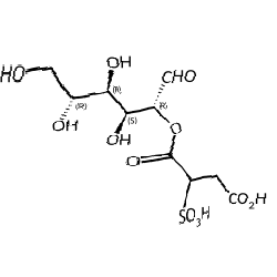 O=C[C@H](OC(=O)C(CC(=O)O)S(=O)(=O)O)[C@@H](O)[C@H](O)[C@H](O)CO